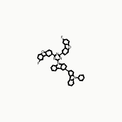 Fc1ccc2oc3ccc(-c4nc(-c5ccc6oc7ccc(F)cc7c6c5)nc(-n5c6ccccc6c6cc(-c7ccc8c(c7)c7ccccc7n8-c7ccccc7)ccc65)n4)cc3c2c1